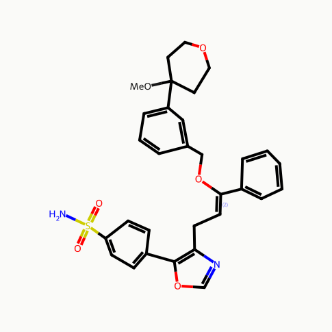 COC1(c2cccc(CO/C(=C\Cc3ncoc3-c3ccc(S(N)(=O)=O)cc3)c3ccccc3)c2)CCOCC1